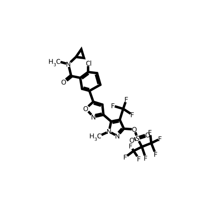 CN(C(=O)c1cc(-c2cc(-c3c(C(F)(F)F)c(OS(=O)(=O)C(F)(C(F)(F)F)C(F)(F)F)nn3C)no2)ccc1Cl)C1CC1